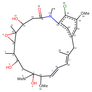 CNC1(O)CC(O)C(C)C2OC2(C)C(O)CC(=O)N(C)c2cc(cc(OC)c2Cl)C/C(C)=C/C=C/C1OC